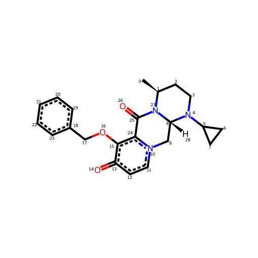 C[C@H]1CCN(C2CC2)[C@@H]2Cn3ccc(=O)c(OCc4ccccc4)c3C(=O)N12